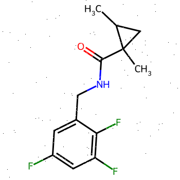 CC1CC1(C)C(=O)NCc1cc(F)cc(F)c1F